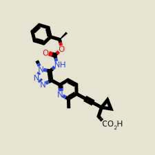 Cc1nc(-c2nnn(C)c2NC(=O)O[C@H](C)c2ccccc2)ccc1C#CC1(CC(=O)O)CC1